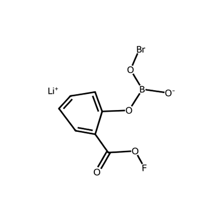 O=C(OF)c1ccccc1OB([O-])OBr.[Li+]